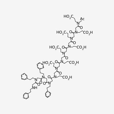 CC(=O)CN(CCC(=O)O)C(=O)CN(CCC(=O)O)C(=O)CN(CCC(=O)O)C(=O)CN(CCC(=O)O)C(=O)CN(CCC(=O)O)C(=O)CN(CCC(=O)O)C(=O)CN(CCC(=O)O)C(=O)CN(CCC(=O)O)C(=O)CN(CCc1ccccc1)C(=O)CN(CCc1ccccc1)C(=O)CN(CCc1ccccc1)C(=O)CNCCc1ccccc1